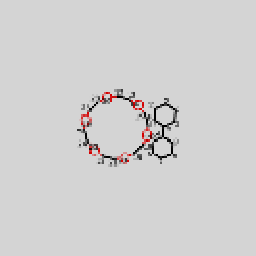 C1CCC(C2CCCCC2)CC1.C1COCCOCCOCCOCCOCCO1